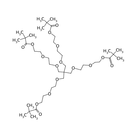 CC(C)(C)C(=O)OCCOCCOCC(COCCOCCOC(=O)C(C)(C)C)(COCCOCCOC(=O)C(C)(C)C)COCCOCCOC(=O)C(C)(C)C